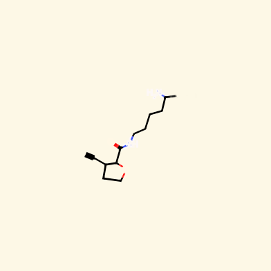 C#CC1CCOC1C(=O)NCCCCC(N)C(=O)O